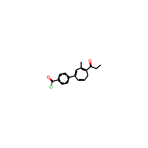 CCC(=O)C1=C(C)C=C(c2ccc(C(=O)Cl)cc2)C=CC1